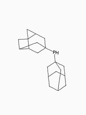 C1C2CC3CC1CC(PC14CC5CC6(CC6C1)C5C4)(C2)C3